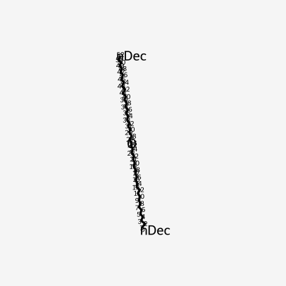 CCCCCCCCCCCCCCCCCCCCCCCCCCCCCCCCCCCOCCCCCCCCCCCCCCCCCCCCCCCCCCCCCCCCCCC